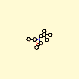 c1ccc(-c2ccc(N(c3ccc4c(c3)c(-c3ccccc3)c(-c3ccccc3)c3ccccc34)c3cccc4c3oc3ccccc34)cc2)cc1